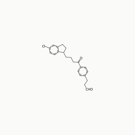 O=CCCc1ccc(C(=O)CCCC2CCc3cc(Cl)ccc32)cc1